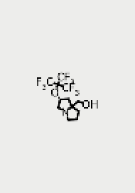 OCC12CCCN1C[C@@H](OC(C(F)(F)F)(C(F)(F)F)C(F)(F)F)C2